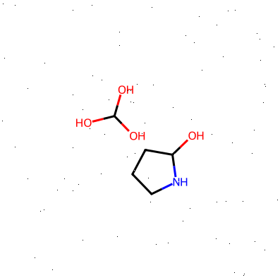 OC(O)O.OC1CCCN1